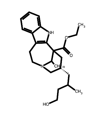 CCOC(=O)C12C[C@H](CC(C)CCO)CN(CCc3c1[nH]c1ccccc31)C2C